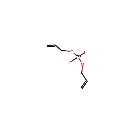 C=CC[O][Zr]([I])([I])[O]CC=C